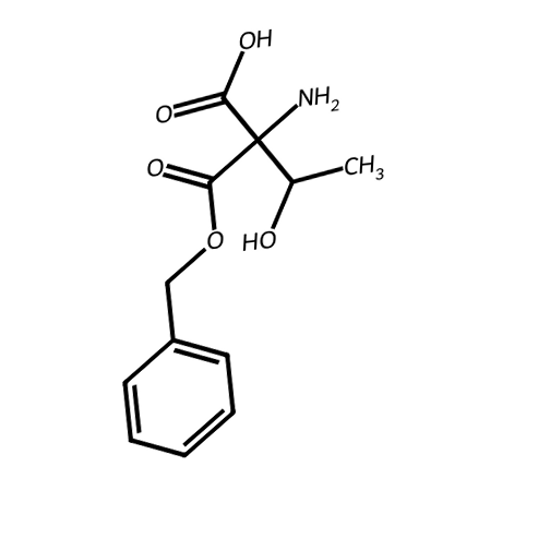 CC(O)C(N)(C(=O)O)C(=O)OCc1ccccc1